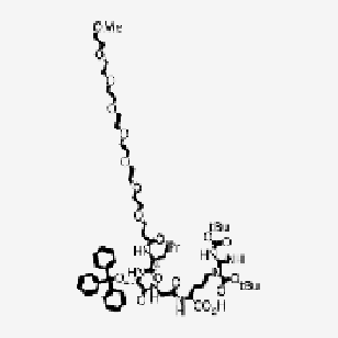 COCCOCCOCCOCCOCCOCCOCCOCCC(=O)N[C@@H](CC(C)C)C(=O)N[C@@H](COC(c1ccccc1)(c1ccccc1)c1ccccc1)C(=O)NCC(=O)N[C@@H](CCCN(C(=N)NC(=O)OC(C)(C)C)C(=O)OC(C)(C)C)C(=O)O